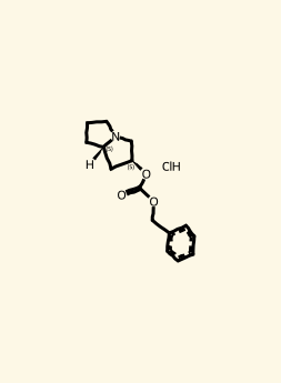 Cl.O=C(OCc1ccccc1)O[C@H]1C[C@@H]2CCCN2C1